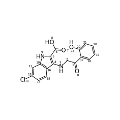 O=C(CNc1c(C(=O)O)[nH]c2cc(Cl)ccc12)c1ccccc1O